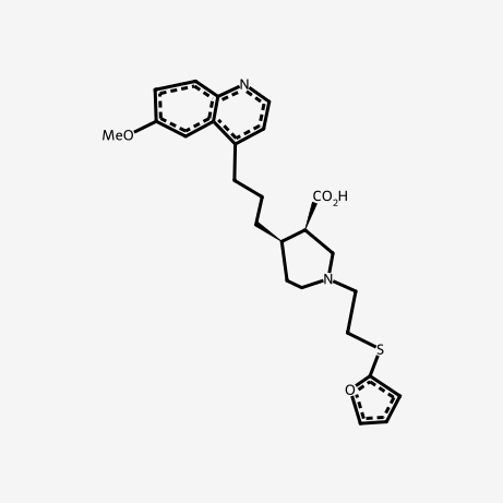 COc1ccc2nccc(CCC[C@@H]3CCN(CCSc4ccco4)C[C@@H]3C(=O)O)c2c1